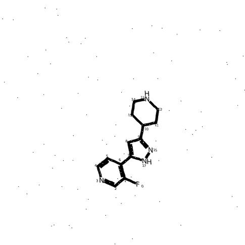 Fc1cnccc1-c1cc(C2CCNCC2)n[nH]1